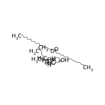 CC(C)CCC[C@@H](C)[C@H]1CC[C@H]2[C@@H]3CC=C4C[C@@H](O)CC[C@]4(C)[C@H]3CC[C@]12C.CCCCCCCCCCCCCCCCOC(=O)CCCCCCCCCCCCCCC